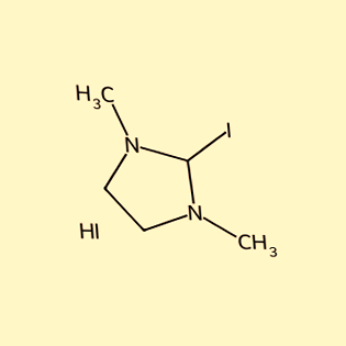 CN1CCN(C)C1I.I